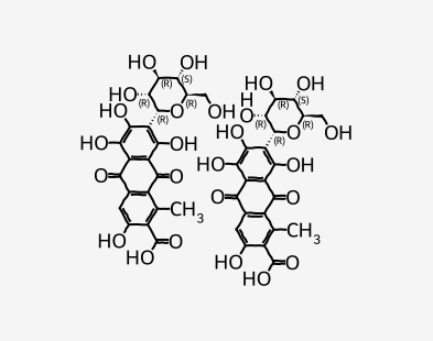 Cc1c(C(=O)O)c(O)cc2c1C(=O)c1c(O)c([C@H]3O[C@H](CO)[C@@H](O)[C@H](O)[C@H]3O)c(O)c(O)c1C2=O.Cc1c(C(=O)O)c(O)cc2c1C(=O)c1c(O)c([C@H]3O[C@H](CO)[C@@H](O)[C@H](O)[C@H]3O)c(O)c(O)c1C2=O